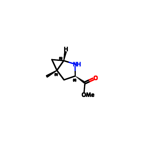 COC(=O)[C@@H]1C[C@]2(C)C[C@@H]2N1